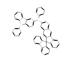 c1ccc(N(c2ccc3cc4c(cc3c2)C2(c3ccccc3-c3ccccc32)c2ccccc2-4)c2ccc3c(c2)c2ccccc2n3-c2ccccc2)cc1